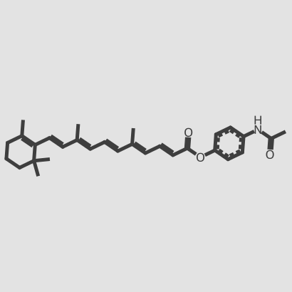 CC(=O)Nc1ccc(OC(=O)/C=C/C=C(C)/C=C/C=C(C)/C=C/C2=C(C)CCCC2(C)C)cc1